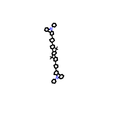 CC1(C)c2cc(-c3ccc(-c4ccc5c(c4)c4ccccc4n5-c4ccccc4)cc3)ccc2-c2cc3c(cc21)-c1ccc(-c2ccc(-c4ccc5c(c4)c4ccccc4n5-c4ccccc4)cc2)cc1C3(C)C